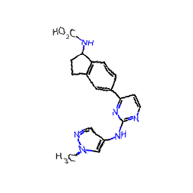 Cn1cc(Nc2nccc(-c3ccc4c(c3)CCC4NC(=O)O)n2)cn1